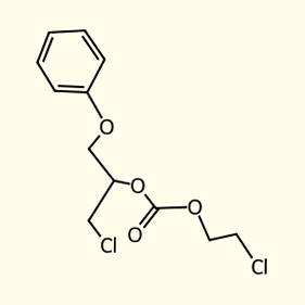 O=C(OCCCl)OC(CCl)COc1ccccc1